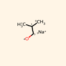 CC(C)C[O-].[Na+]